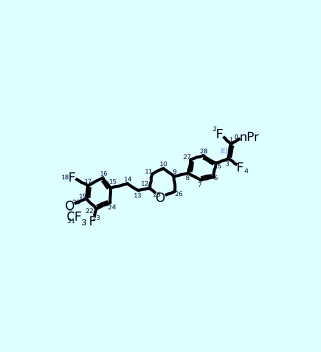 CCC/C(F)=C(\F)c1ccc(C2CCC(CCc3cc(F)c(OC(F)(F)F)c(F)c3)OC2)cc1